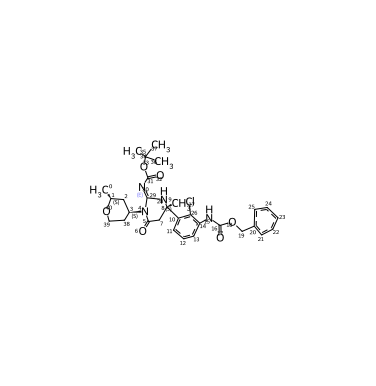 C[C@H]1C[C@@H](N2C(=O)C[C@@](C)(c3cccc(NC(=O)OCc4ccccc4)c3Cl)N/C2=N\C(=O)OC(C)(C)C)CCO1